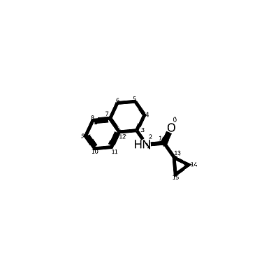 O=C(NC1CCCc2ccccc21)C1CC1